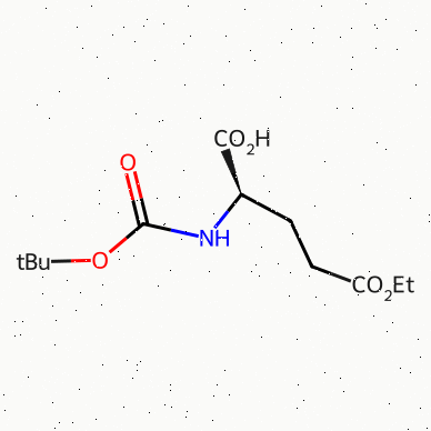 CCOC(=O)CC[C@@H](NC(=O)OC(C)(C)C)C(=O)O